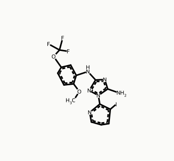 COc1ccc(OC(F)(F)F)cc1Nc1nc(N)n(-c2ncccc2I)n1